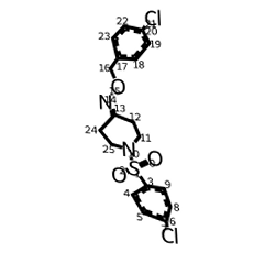 O=S(=O)(c1ccc(Cl)cc1)N1CCC(=NOCc2ccc(Cl)cc2)CC1